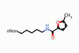 CCCCCCCCCCCCCCNC(=O)c1ccc(C)o1